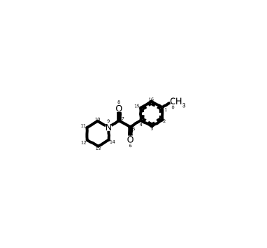 Cc1ccc(C(=O)C(=O)N2CCCCC2)cc1